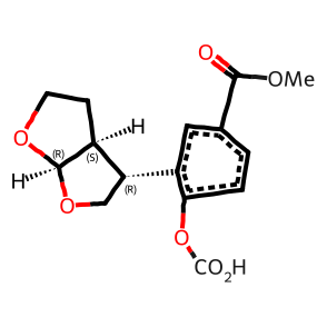 COC(=O)c1ccc(OC(=O)O)c([C@@H]2CO[C@H]3OCC[C@H]32)c1